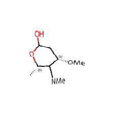 CNC1[C@H](C)OC(O)C[C@@H]1OC